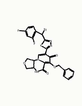 CCC(c1nnc(-c2cn3c(c(OCc4ccccc4)c2=O)C(=O)NC2COCC23)s1)c1ccc(F)cc1F